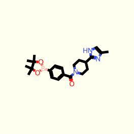 Cc1c[nH]c(C2CCN(C(=O)c3ccc(B4OC(C)(C)C(C)(C)O4)cc3)CC2)n1